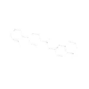 Cc1cccnc1N1CCN(C(=O)Nc2ccc3c(c2)NCCC3(C)C)CC1